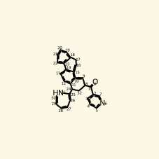 O=C(c1cccnc1)C1C=c2c(ccc3c2=CCc2ccccc2-3)C(C2=CC=CC=CN2)C1